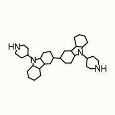 C1CCC2C(C1)C1CC(C3CCC4C(C3)C3CCCCC3N4C3CCNCC3)CCC1N2C1CCNCC1